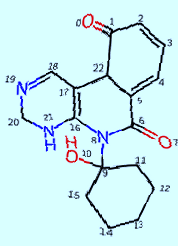 O=C1C=CC=C2C(=O)N(C3(O)CCCCC3)C3=C(C=NCN3)C12